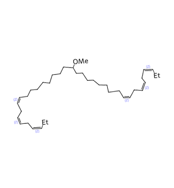 CC/C=C\C/C=C\C/C=C\CCCCCCCCC(CCCCCCCC/C=C\C/C=C\C/C=C\CC)OC